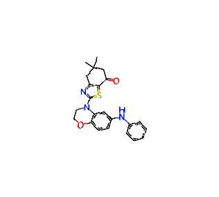 CC1(C)CC(=O)c2sc(N3CCOc4ccc(Nc5ccccc5)cc43)nc2C1